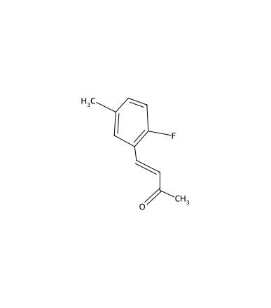 CC(=O)/C=C/c1cc(C)ccc1F